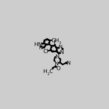 C=CC(=O)N1CCN(c2ncnc3c(F)c(-c4c(C)ccc5[nH]ncc45)c(Cl)cc23)CC1CC#N